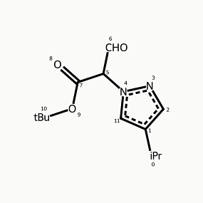 CC(C)c1cnn(C(C=O)C(=O)OC(C)(C)C)c1